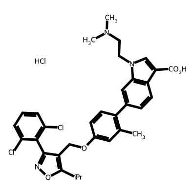 Cc1cc(OCc2c(-c3c(Cl)cccc3Cl)noc2C(C)C)ccc1-c1ccc2c(C(=O)O)cn(CCN(C)C)c2c1.Cl